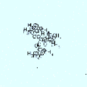 CCC(COC(=O)c1cc(OC)c(OC)c(OC)c1)(COC(=O)c1cc(OC)c(OC)c(OC)c1)COC(=O)c1cc(OC)c(OC)c(OC)c1OC